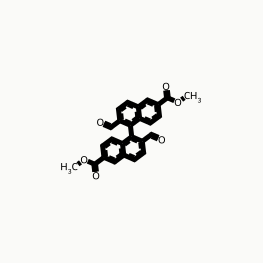 COC(=O)c1ccc2c(-c3c(C=O)ccc4cc(C(=O)OC)ccc34)c(C=O)ccc2c1